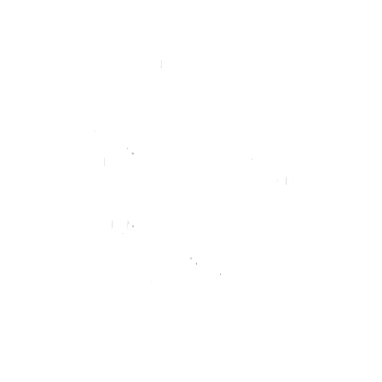 CC(=O)c1cc(N(Cl)C(C)(C)CF)c(N)c(N(Cl)C(C)(C)CF)c1.Cl